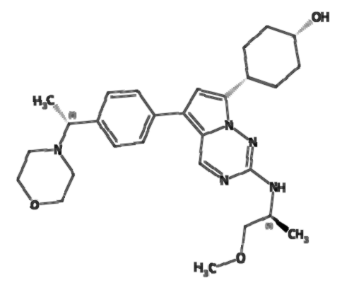 COC[C@H](C)Nc1ncc2c(-c3ccc([C@@H](C)N4CCOCC4)cc3)cc([C@H]3CC[C@@H](O)CC3)n2n1